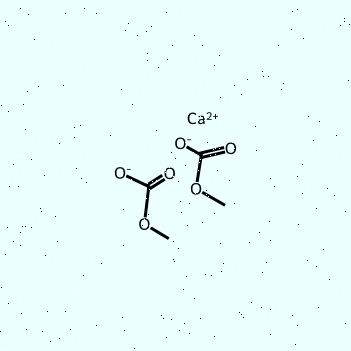 COC(=O)[O-].COC(=O)[O-].[Ca+2]